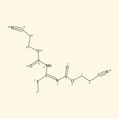 CSC(=NC(=O)OCCC#N)NC(=O)OCCC#N